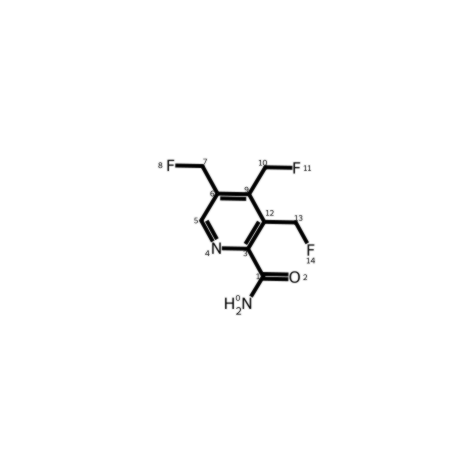 NC(=O)c1ncc(CF)c(CF)c1CF